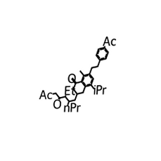 CCCC(CC1CC(=O)c2c(C)c(CCc3ccc(C(C)=O)cc3)cc(C(C)C)c2C1)C(CC)C(=O)CC(C)=O